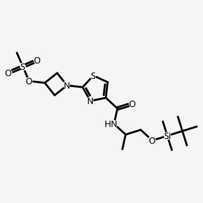 CC(CO[Si](C)(C)C(C)(C)C)NC(=O)c1csc(N2CC(OS(C)(=O)=O)C2)n1